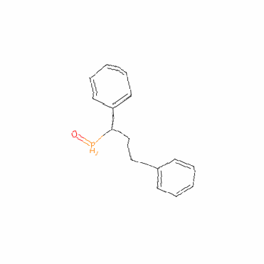 O=[PH2]C(CCc1ccccc1)c1ccccc1